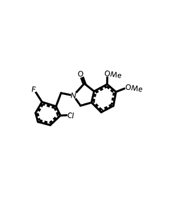 COc1ccc2c(c1OC)C(=O)N(Cc1c(F)cccc1Cl)C2